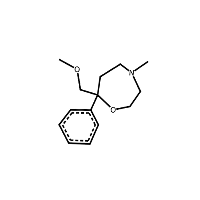 COCC1(c2ccccc2)CCN(C)CCO1